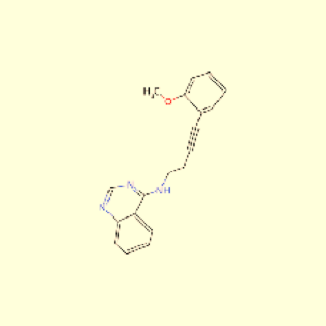 COc1ccccc1C#CCCNc1ncnc2ccccc12